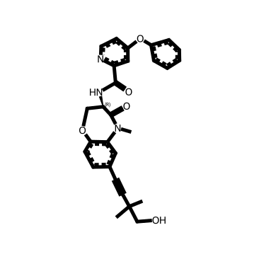 CN1C(=O)[C@H](NC(=O)c2cc(Oc3ccccc3)ccn2)COc2ccc(C#CC(C)(C)CO)cc21